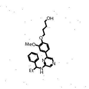 CCC(Nc1cncc(-c2ccc(OCCCCO)c(OC)c2)n1)c1ccccc1